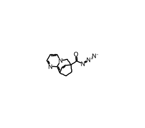 [N-]=[N+]=NC(=O)C12C=CC(=C3N=CC=CN3C1)CC2